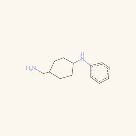 NCC1CCC(Nc2ccccc2)CC1